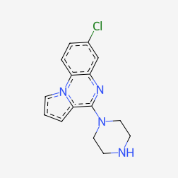 Clc1ccc2c(c1)nc(N1CCNCC1)c1cccn12